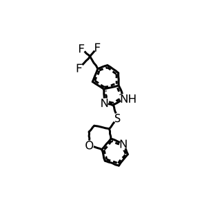 FC(F)(F)c1ccc2[nH]c(SC3CCOc4cccnc43)nc2c1